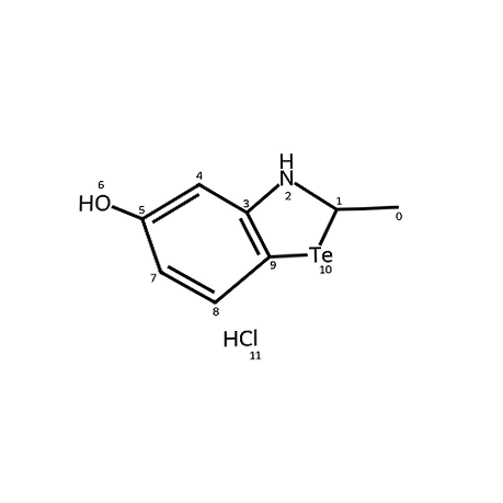 CC1Nc2cc(O)ccc2[Te]1.Cl